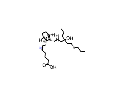 CCCSCCC(O)(CCC)CNC[C@@H]1[C@H](C/C=C\CCCC(=O)O)[C@@H]2CC[C@H]1O2